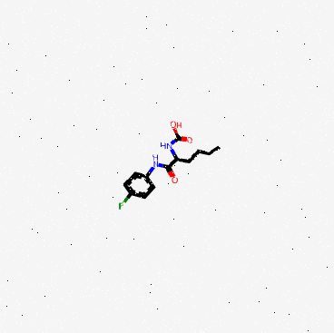 CCCCC(NC(=O)O)C(=O)Nc1ccc(F)cc1